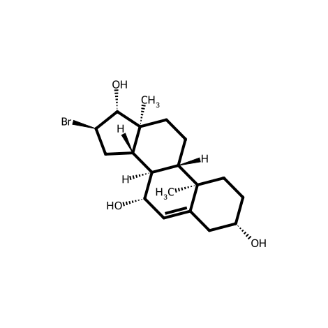 C[C@]12CC[C@H]3[C@@H]([C@@H](O)C=C4C[C@@H](O)CC[C@@]43C)[C@@H]1C[C@@H](Br)[C@@H]2O